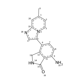 Cc1ccn2c(-c3ccc(N)c4c3CNC4=O)cnc2c1